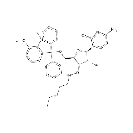 CCCCCNO[C@H]1[C@@H](O)[C@H](n2ccc(N)nc2=O)O[C@@H]1COC(c1ccccc1)(c1ccccc1)c1cccc(OC)c1OC